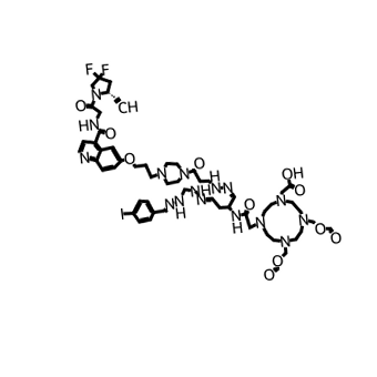 C#C[C@H]1CC(F)(F)CN1C(=O)CNC(=O)c1ccnc2ccc(OCCCN3CCN(C(=O)CCN/N=C\C(C/C=N/NCN/N=C/c4ccc(I)cc4)NC(=O)CN4CCN(COC=O)CCN(COC=O)CCN(CC(=O)O)CC4)CC3)cc12